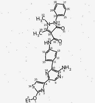 CCOc1nc(-c2cnc(N)c(-c3ccc(NC(=O)c4c(C)n(C)n(-c5ccccc5)c4=O)cc3)n2)cs1